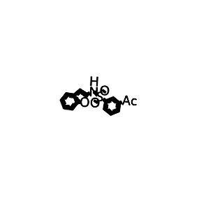 CC(=O)c1cccc(S(=O)(=O)Nc2cc3ccccc3o2)c1